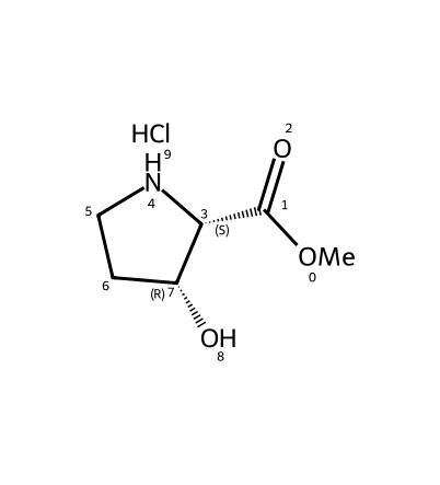 COC(=O)[C@H]1NCC[C@H]1O.Cl